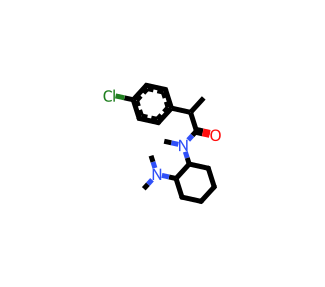 CC(C(=O)N(C)C1CCCCC1N(C)C)c1ccc(Cl)cc1